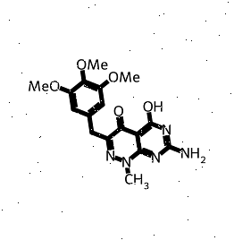 COc1cc(Cc2nn(C)c3nc(N)nc(O)c3c2=O)cc(OC)c1OC